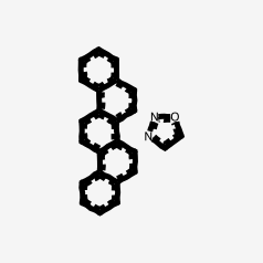 c1ccc2c(c1)ccc1c2ccc2c3ccccc3ccc21.c1conn1